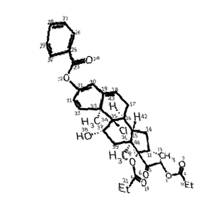 CCC(=O)OCC(=O)[C@]1(OC(=O)CC)[C@@H](C)C[C@H]2[C@@H]3CC=C4C=C(OC(=O)c5ccccc5)C=C[C@]4(C)[C@@]3(Cl)[C@@H](O)C[C@@]21C